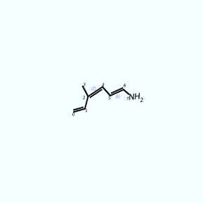 C=C/C(C)=C\C=C\N